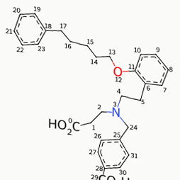 O=C(O)CCN(CCc1ccccc1OCCCCCc1ccccc1)Cc1ccc(C(=O)O)cc1